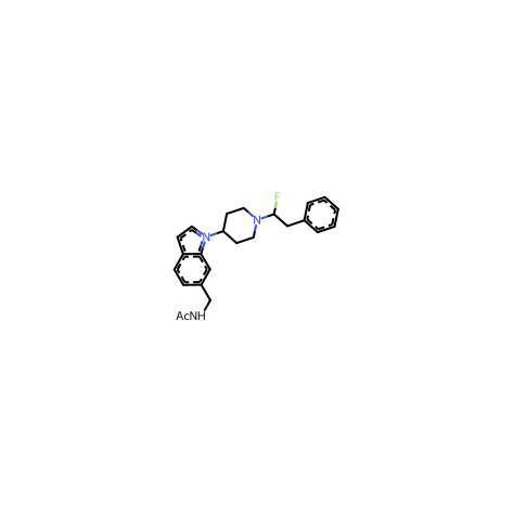 CC(=O)NCc1ccc2ccn(C3CCN(C(F)Cc4ccccc4)CC3)c2c1